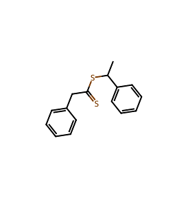 CC(SC(=S)Cc1ccccc1)c1ccccc1